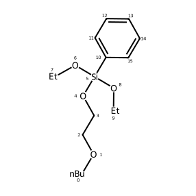 CCCCOCCO[Si](OCC)(OCC)c1ccccc1